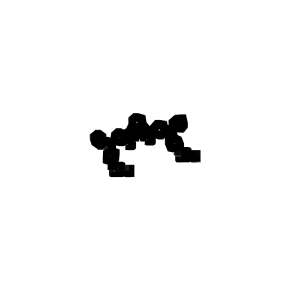 CC(C)(C)c1ccc(N(c2ccccc2)c2ccc3c(c2)sc2c3c3cccc4c5c6ccc(N(c7ccccc7)c7ccc(C(C)(C)C)cc7)cc6sc5n2c34)cc1